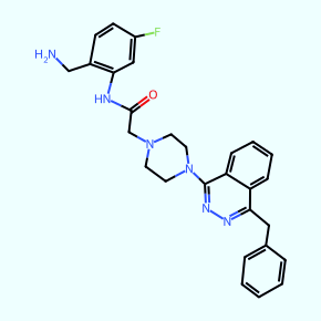 NCc1ccc(F)cc1NC(=O)CN1CCN(c2nnc(Cc3ccccc3)c3ccccc23)CC1